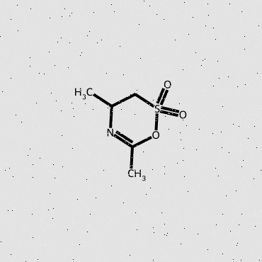 CC1=NC(C)CS(=O)(=O)O1